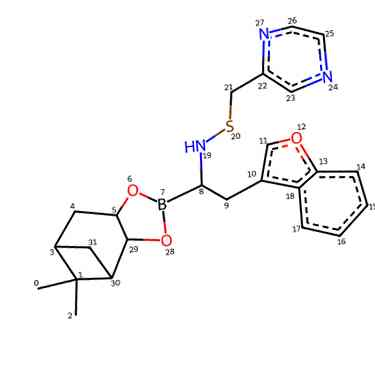 CC1(C)C2CC3OB(C(Cc4coc5ccccc45)NSCc4cnccn4)OC3C1C2